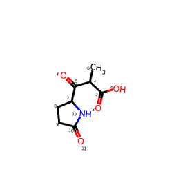 CC(C(=O)O)C(=O)C1CCC(=O)N1